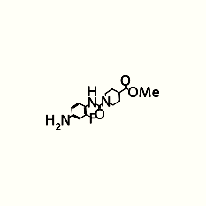 COC(=O)C1CCN(C(=O)Nc2ccc(N)cc2F)CC1